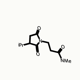 CNC(=O)CCN1C(=O)CC(C(C)C)C1=O